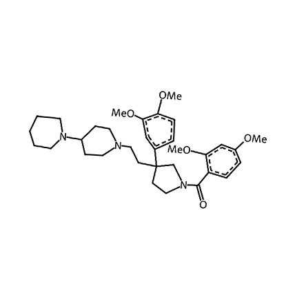 COc1ccc(C(=O)N2CCC(CCN3CCC(N4CCCCC4)CC3)(c3ccc(OC)c(OC)c3)C2)c(OC)c1